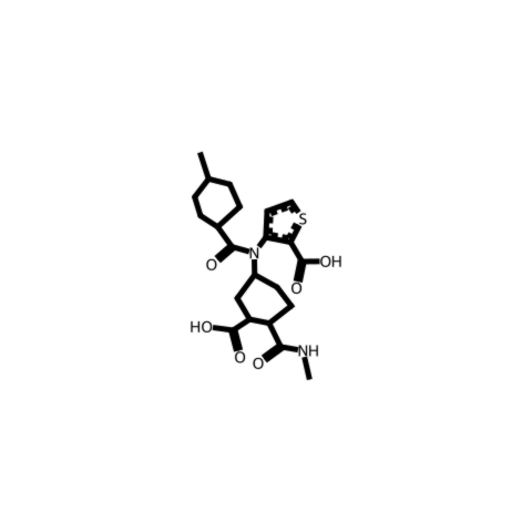 CNC(=O)C1CCC(N(C(=O)C2CCC(C)CC2)c2ccsc2C(=O)O)CC1C(=O)O